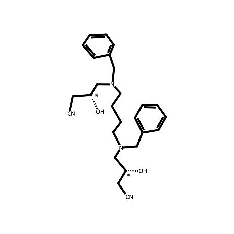 N#CC[C@@H](O)CN(CCCCN(Cc1ccccc1)C[C@H](O)CC#N)Cc1ccccc1